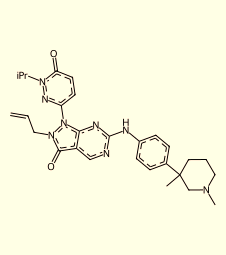 C=CCn1c(=O)c2cnc(Nc3ccc(C4(C)CCCN(C)C4)cc3)nc2n1-c1ccc(=O)n(C(C)C)n1